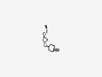 C#CCO[C@H]1C[C@H](OC2CCNCC2)C1